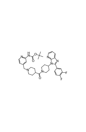 CC(C)(C)OC(=O)Nc1cc(CN2CCC(C(=O)N3CCC(n4c(-c5ccc(F)c(F)c5)nc5cccnc54)CC3)CC2)ccn1